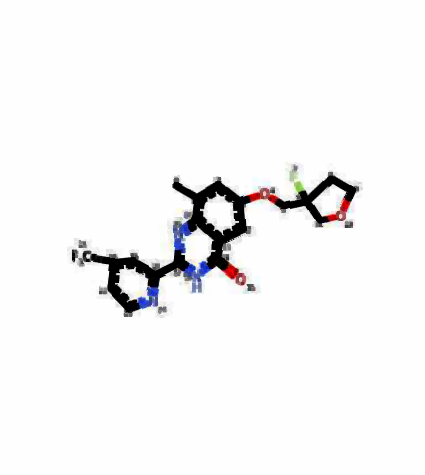 Cc1cc(OCC2(F)CCOC2)cc2c(=O)[nH]c(-c3cc(C(F)(F)F)ccn3)nc12